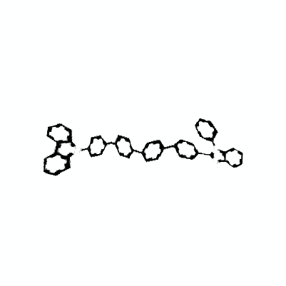 c1ccc(-n2c(-c3ccc(-c4ccc(-c5ccc(-c6ccc(-n7c8ccccc8c8ccccc87)cc6)cc5)cc4)cc3)nc3ccccc32)cc1